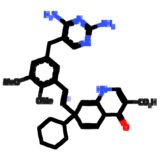 COc1cc(Cc2cnc(N)nc2N)cc(/C=C/C2(C3CCCCC3)C=CC3C(=O)C(C(=O)O)=CNC3=C2)c1OC